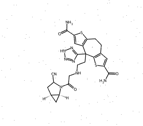 N#CC1C[C@@H]2C[C@@H]2N1C(=O)CNCCC1(c2nn[nH]n2)c2cc(C(N)=O)sc2CCc2cc(C(N)=O)sc21